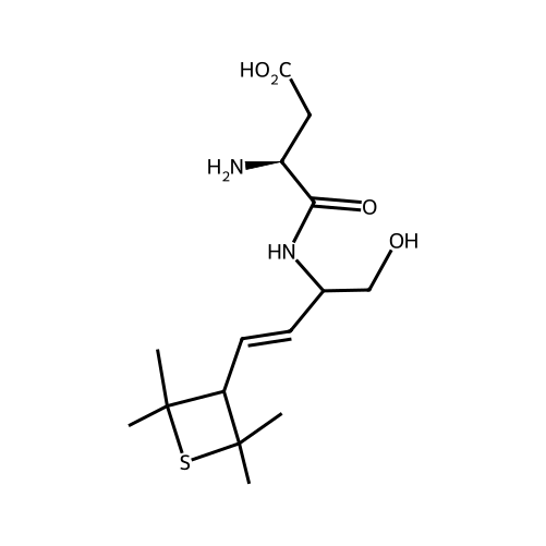 CC1(C)SC(C)(C)C1/C=C/C(CO)NC(=O)[C@@H](N)CC(=O)O